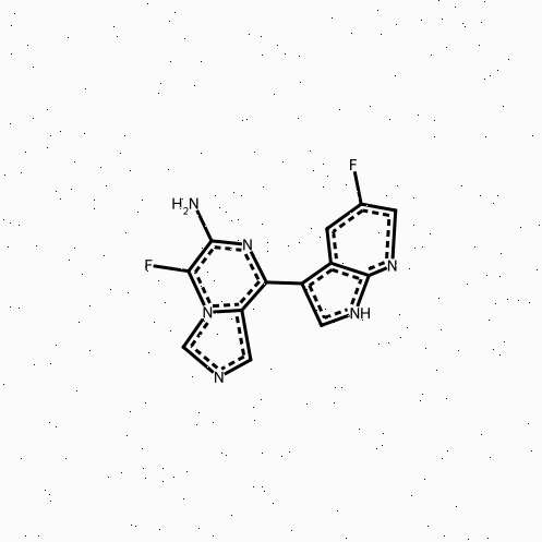 Nc1nc(-c2c[nH]c3ncc(F)cc23)c2cncn2c1F